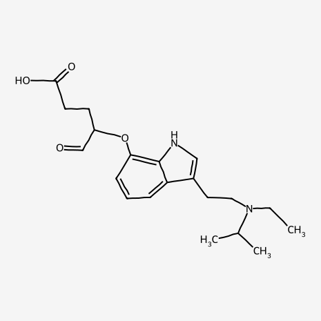 CCN(CCc1c[nH]c2c(OC(C=O)CCC(=O)O)cccc12)C(C)C